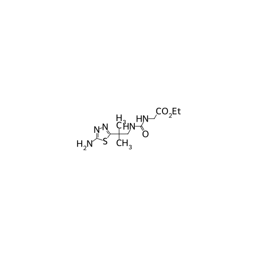 CCOC(=O)CNC(=O)NCC(C)(C)c1nnc(N)s1